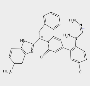 N/N=C\N(N)c1ccc(Cl)cc1-c1ccn([C@@H](Cc2ccccc2)c2nc3cc(C(=O)O)ccc3[nH]2)c(=O)c1